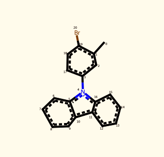 Cc1cc(-n2c3ccccc3c3ccccc32)ccc1Br